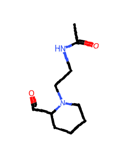 CC(=O)NCCN1CCCCC1C=O